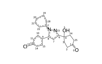 O=C1CCC(O)(c2cc(-c3ccc(Cl)cc3)n(-c3ccccc3)n2)CC1